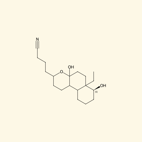 CCC12CCC3(O)OC(CCCC#N)CCC3C1CCC[C@@H]2O